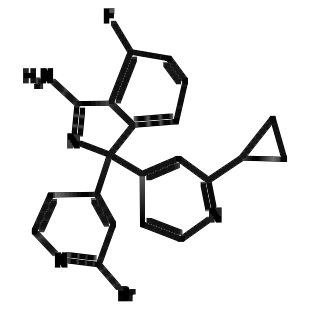 NC1=NC(c2ccnc(Br)c2)(c2ccnc(C3CC3)c2)c2cccc(F)c21